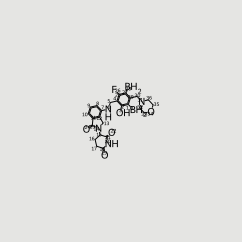 Bc1c(O)c(CNc2cccc3c2CN(C2CCC(=O)NC2=O)C3=O)c(F)c(B)c1CN1CCOCC1